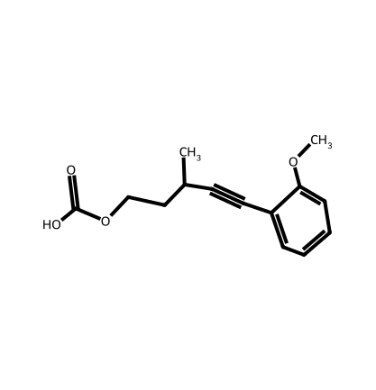 COc1ccccc1C#CC(C)CCOC(=O)O